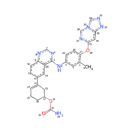 Cc1cc(Nc2ncnc3ccc(C4=CCCC(OC(N)=O)C4)cc23)ccc1Oc1cc2nncn2cn1